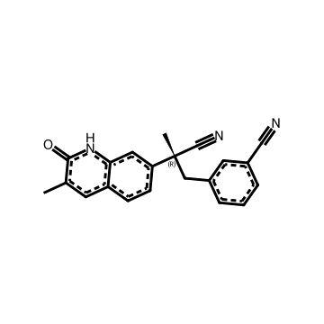 Cc1cc2ccc([C@](C)(C#N)Cc3cccc(C#N)c3)cc2[nH]c1=O